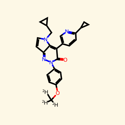 [2H]C([2H])([2H])Oc1ccc(-n2nc3ccn(CC4CC4)c3c(-c3ccc(C4CC4)nc3)c2=O)cc1